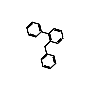 c1ccc(Cc2cnccc2-c2ccccc2)cc1